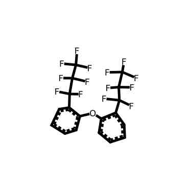 FC(F)(F)C(F)(F)C(F)(F)c1ccccc1Oc1ccccc1C(F)(F)C(F)(F)C(F)(F)F